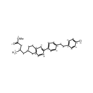 COC(=O)CC(C)CN1CCc2nc(-c3ccc(CCc4ccc(Cl)cc4)cc3)ncc2C1